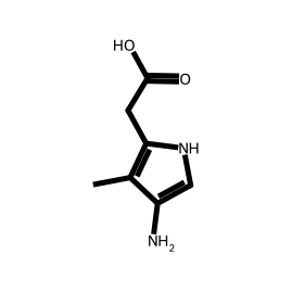 Cc1c(N)c[nH]c1CC(=O)O